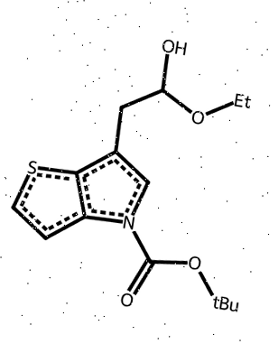 CCOC(O)Cc1cn(C(=O)OC(C)(C)C)c2ccsc12